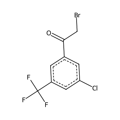 O=C(CBr)c1cc(Cl)cc(C(F)(F)F)c1